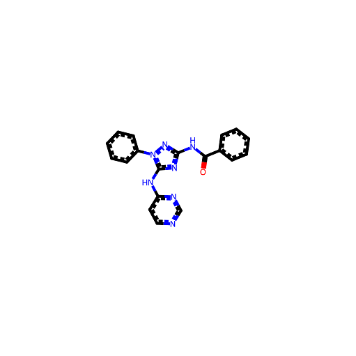 O=C(Nc1nc(Nc2ccncn2)n(-c2ccccc2)n1)c1ccccc1